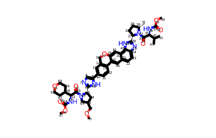 COCC1C[C@@H](c2ncc(-c3ccc4c(c3)COc3cc5c(ccc6nc([C@@H]7CC[C@H](C)N7C(=O)[C@@H](NC(=O)OC)C(C)C)[nH]c65)cc3-4)[nH]2)N(C(=O)[C@@H](NC(=O)OC)C2CCOCC2)C1